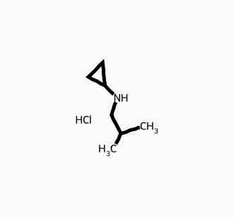 CC(C)CNC1CC1.Cl